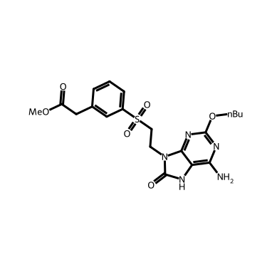 CCCCOc1nc(N)c2[nH]c(=O)n(CCS(=O)(=O)c3cccc(CC(=O)OC)c3)c2n1